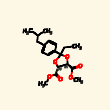 CCC1(c2ccc(CC(C)C)cc2)O[C@@H](C(=O)OC)[C@H](C(=O)OC)O1